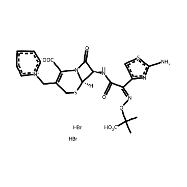 Br.Br.CC(C)(O/N=C(\C(=O)N[C@@H]1C(=O)N2C(C(=O)[O-])=C(C[n+]3ccccc3)CS[C@H]12)c1csc(N)n1)C(=O)O